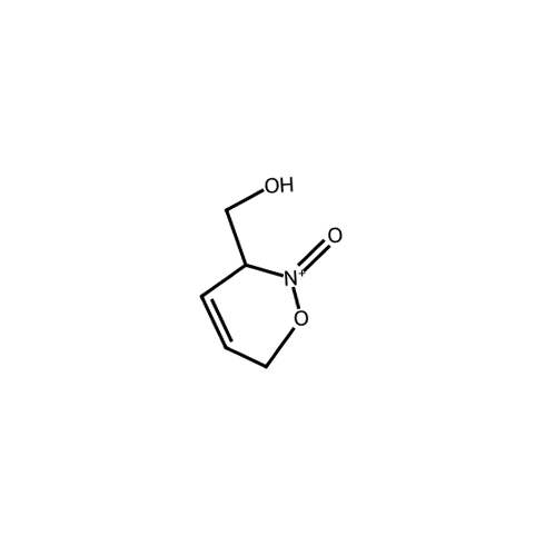 O=[N+]1OCC=CC1CO